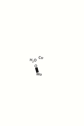 O.[Co].[O]=[Mo]